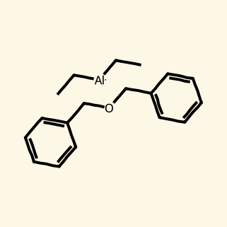 C[CH2][Al][CH2]C.c1ccc(COCc2ccccc2)cc1